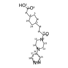 O=C(O)CC1CCC(CCC(=O)N2CCN(c3ccnnc3)CC2)CC1